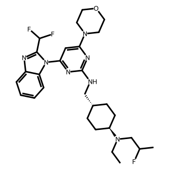 CCN(CC(C)F)[C@H]1CC[C@H](CNc2nc(N3CCOCC3)cc(-n3c(C(F)F)nc4ccccc43)n2)CC1